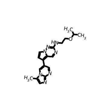 Cc1cnc2ncc(-c3ccn4nc(NCCOC(C)C)ncc34)cn12